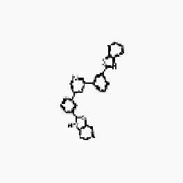 c1cc(-c2cncc(-c3cccc(C4Nc5ccccc5S4)c3)c2)cc(-c2nc3ccccc3s2)c1